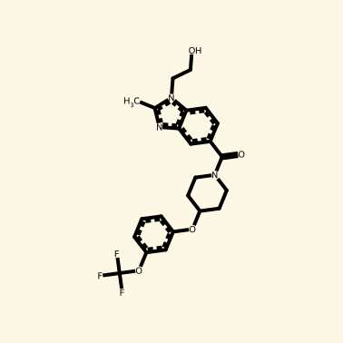 Cc1nc2cc(C(=O)N3CCC(Oc4cccc(OC(F)(F)F)c4)CC3)ccc2n1CCO